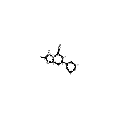 Cc1nc2cc(-c3ccccc3)cc(=O)n2o1